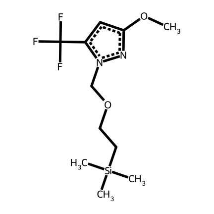 COc1cc(C(F)(F)F)n(COCC[Si](C)(C)C)n1